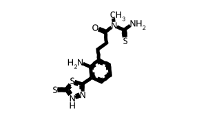 CN(C(=O)CCc1cccc(-c2n[nH]c(=S)s2)c1N)C(N)=S